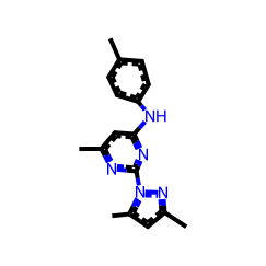 Cc1ccc(Nc2cc(C)nc(-n3nc(C)cc3C)n2)cc1